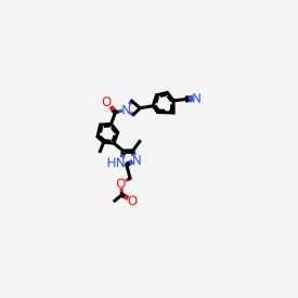 CC(=O)OCc1nc(C)c(-c2cc(C(=O)N3CC(c4ccc(C#N)cc4)C3)ccc2C)[nH]1